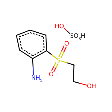 Nc1ccccc1S(=O)(=O)CCO.O=S(=O)(O)O